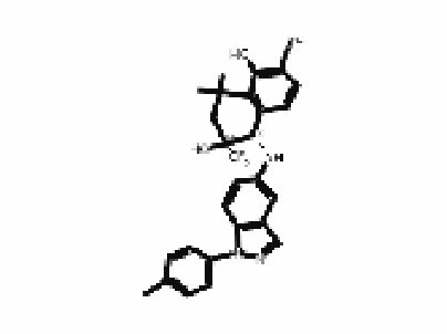 Cc1ccc(-n2ncc3cc(N[C@H]4c5ccc(C(C)C)c(O)c5C(C)(C)C[C@@]4(O)C(F)(F)F)ccc32)cc1